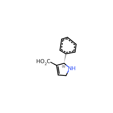 O=C(O)C1=CCN[C@H]1c1ccccc1